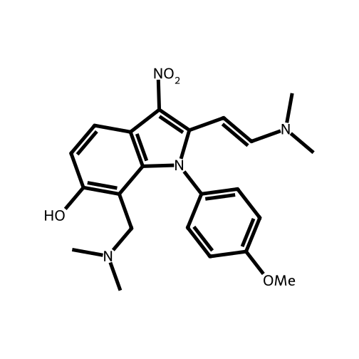 COc1ccc(-n2c(C=CN(C)C)c([N+](=O)[O-])c3ccc(O)c(CN(C)C)c32)cc1